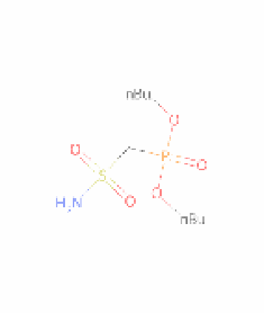 CCCCOP(=O)(CS(N)(=O)=O)OCCCC